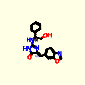 O=C1NC(N[C@H](CO)c2ccccc2)=N/C1=C\c1ccc2ncoc2c1